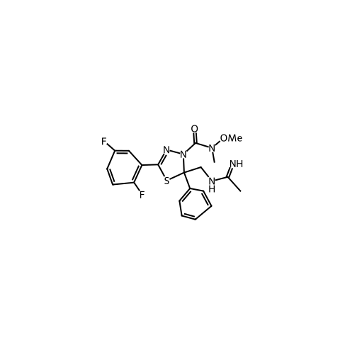 CON(C)C(=O)N1N=C(c2cc(F)ccc2F)SC1(CNC(C)=N)c1ccccc1